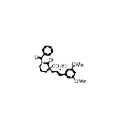 CCOC(=O)[C@@]1(CC=Cc2cc(OC)cc(OC)c2)CCCN(C(=O)c2ccccc2)C1=O